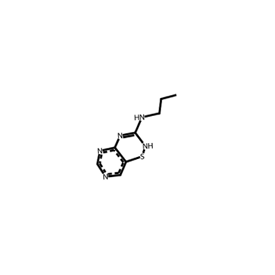 CCCNC1=Nc2ncncc2SN1